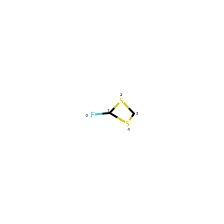 FC1SCS1